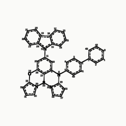 c1ccc(-c2ccc(N3c4cc(-n5c6ccccc6c6ccccc65)cc5c4B(n4cccc4O5)n4cccc43)cc2)cc1